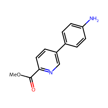 COC(=O)c1ccc(-c2ccc(N)cc2)cn1